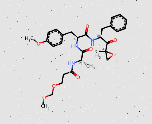 COCOCCC(=O)N[C@@H](C)C(=O)N[C@@H](Cc1ccc(OC)cc1)C(=O)N[C@@H](Cc1ccccc1)C(=O)[C@@]1(C)CO1